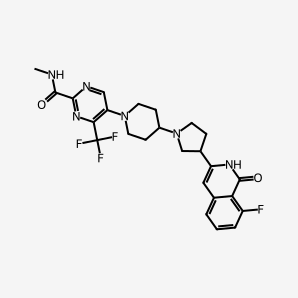 CNC(=O)c1ncc(N2CCC(N3CCC(c4cc5cccc(F)c5c(=O)[nH]4)C3)CC2)c(C(F)(F)F)n1